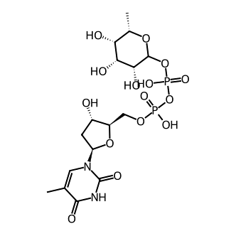 Cc1cn([C@H]2C[C@H](O)[C@@H](COP(=O)(O)OP(=O)(O)OC3O[C@@H](C)[C@@H](O)[C@@H](O)[C@H]3O)O2)c(=O)[nH]c1=O